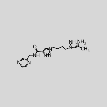 C/C(N)=C/N(N)CCCCn1cc(C(=O)NCc2cnccn2)nn1